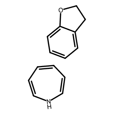 C1=CC=CNC=C1.c1ccc2c(c1)CCO2